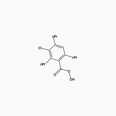 CCCc1cc(CCC)c(C(=O)OO)c(CCC)c1Cl